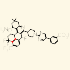 CC1(C)Cc2nc(C3CCN(c4ncc(-c5cccc(C(=O)O)c5)cn4)CC3)c([C@@H](F)c3ccc(C(F)(F)F)cc3)c(C3CCC(F)(F)CC3)c2[C@@H](ON)C1